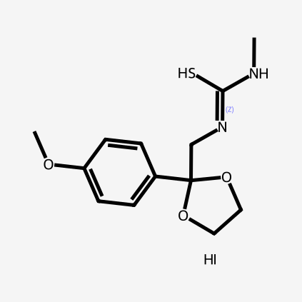 CN/C(S)=N/CC1(c2ccc(OC)cc2)OCCO1.I